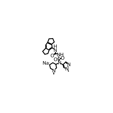 CN1CCCC(N(c2cnn(C)c2)S(=O)(=O)NC(=O)Nc2c3c(cc4c2CCC4)CCC3)C1.[Na]